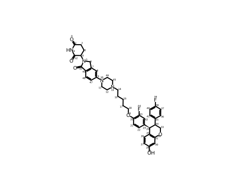 O=C1CCC(N2Cc3cc(N4CCN(CCCCCOc5ccc([C@@H]6c7ccc(O)cc7OCC6c6ccc(F)cc6)cc5F)CC4)ccc3C2=O)C(=O)N1